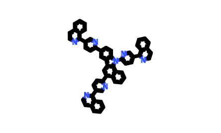 c1ccc2c(-c3ccc(-c4ccc5c(c4)c4cc(-c6ccc(-c7nccc8ccccc78)cn6)c6ccccc6c4n5-c4ccc(-c5nccc6ccccc56)cn4)nc3)nccc2c1